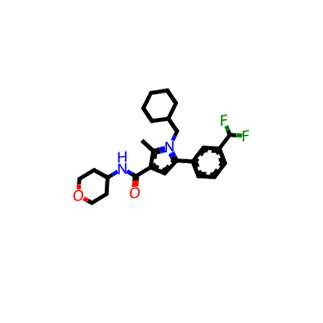 Cc1c(C(=O)NC2CCOCC2)cc(-c2cccc(C(F)F)c2)n1CC1CCCCC1